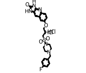 Cl.Cl.O=c1[nH]c2cc3cc(OCCCS(=O)(=O)N4CCN(Cc5ccc(F)cc5)CC4)ccc3nc2[nH]1